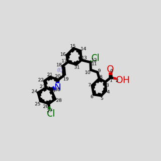 O=C(O)c1ccccc1CCC(Cl)c1cccc(/C=C/c2ccc3ccc(Cl)cc3n2)c1